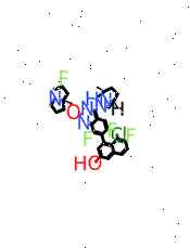 C[C@]12CC[C@H](CN(c3nc(OC[C@@]45CCCN4C[C@H](F)C5)nc4c(F)c(-c5cc(O)cc6ccc(F)c(Cl)c56)c(F)cc34)C1)N2